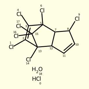 Cl.ClC1=C(Cl)C2(Cl)C3C(Cl)C=CC3C1(Cl)C2(Cl)Cl.O